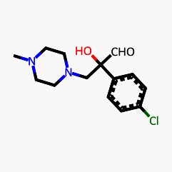 CN1CCN(CC(O)(C=O)c2ccc(Cl)cc2)CC1